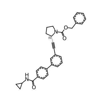 O=C(NC1CC1)c1ccc(-c2cccc(C#C[C@@H]3CCCN3C(=O)OCc3ccccc3)c2)cc1